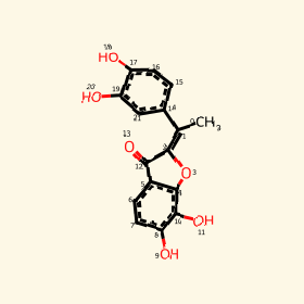 CC(=C1Oc2c(ccc(O)c2O)C1=O)c1ccc(O)c(O)c1